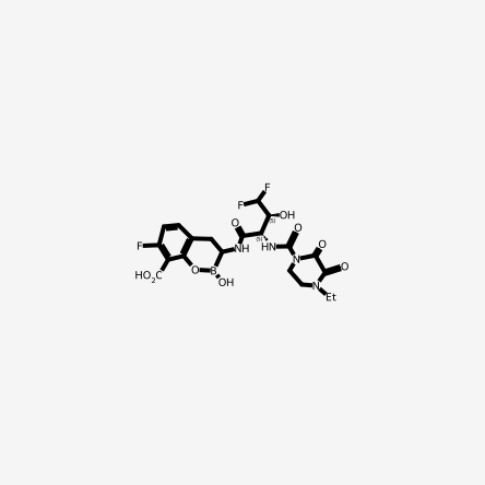 CCN1CCN(C(=O)N[C@H](C(=O)NC2Cc3ccc(F)c(C(=O)O)c3OB2O)[C@H](O)C(F)F)C(=O)C1=O